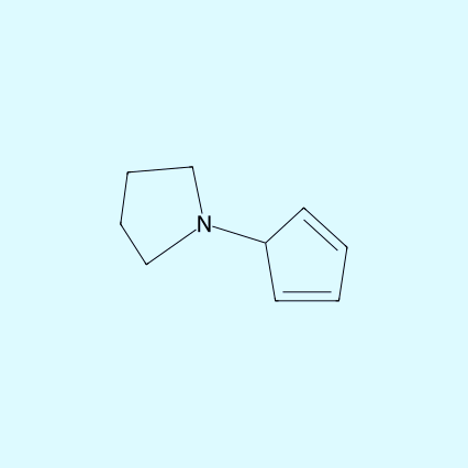 C1=CC(N2CCCC2)C=C1